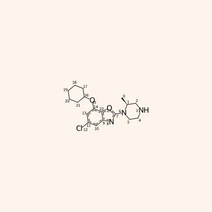 C[C@H]1CNCCN1c1nc2cc(Cl)cc(OC3CCCCC3)c2o1